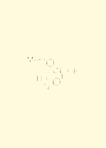 COc1ccc(CN(CCO)C(=O)c2c(F)ccc(Br)c2C)cc1